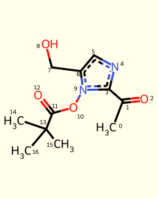 CC(=O)c1ncc(CO)n1OC(=O)C(C)(C)C